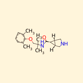 Cc1cccc(C)c1OCC(C)(C)NC(=O)[C@H]1[C@@H]2CNC[C@@H]21